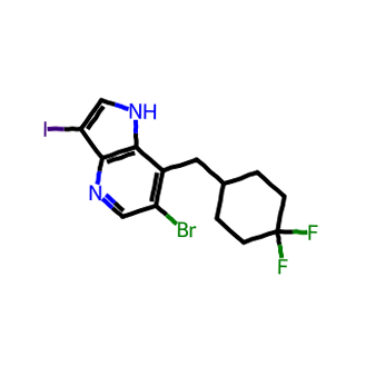 FC1(F)CCC(Cc2c(Br)cnc3c(I)c[nH]c23)CC1